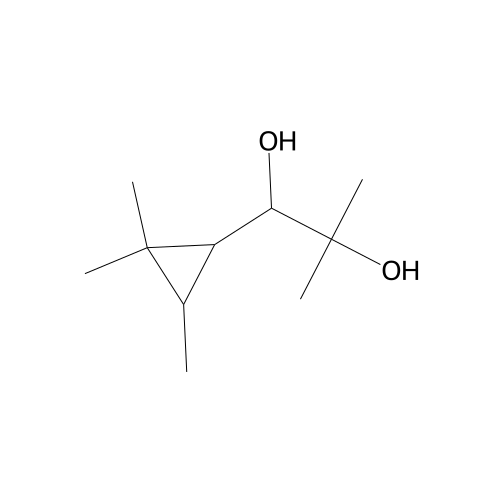 CC1C(C(O)C(C)(C)O)C1(C)C